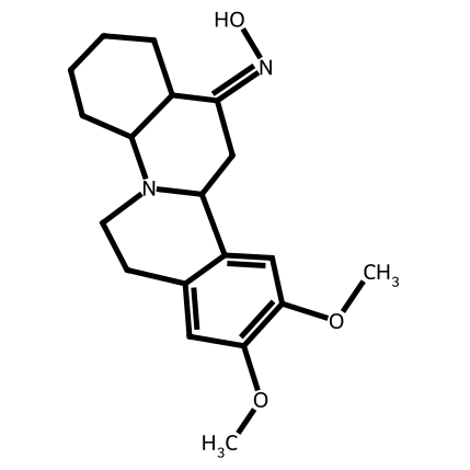 COc1cc2c(cc1OC)C1C/C(=N/O)C3CCCCC3N1CC2